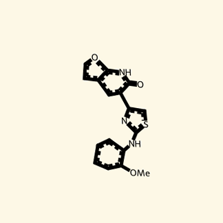 COc1ccccc1Nc1nc(-c2cc3ccoc3[nH]c2=O)cs1